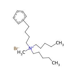 CCCCC[N+](C)(CCCCC)CCCCc1ccccc1.[Br-]